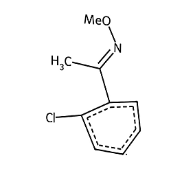 CO/N=C(\C)c1cc[c]cc1Cl